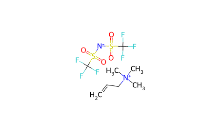 C=CC[N+](C)(C)C.O=S(=O)([N-]S(=O)(=O)C(F)(F)F)C(F)(F)F